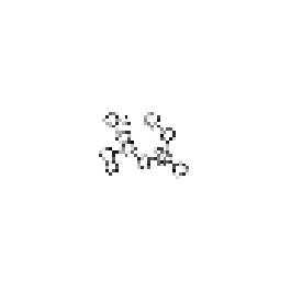 CC1(C)c2ccccc2-c2cc3c(-c4cccc5ccccc45)cc(-c4cccc(-c5nc(-c6ccccc6)nc(-c6cccc(-c7ccccc7)c6)n5)c4)nc3cc21